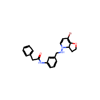 O=C(Cc1ccccc1)Nc1cccc(CNN2C=CC(Br)=C3OCCC32)c1